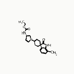 CCOC(=O)N[C@H]1CCN(C2CCC3(CC2)C(=O)Nc2c(C)cccc23)C1